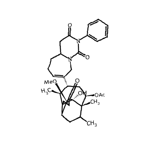 CO[C@H]1C[C@@]23CCC(C)[C@@](C)([C@H](OC(C)=O)C[C@@H](C4=CCCC5CC(=O)N(c6ccccc6)C(=O)N5C4)[C@@H]2C)[C@]3(O)C1=O